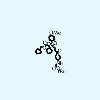 COc1ccc(S(=O)(=O)N(CCC(=O)N2CCC(NCC(=O)OC(C)(C)C)CC2)C2(CC(=O)OCc3ccccc3)CCCCC2)cc1